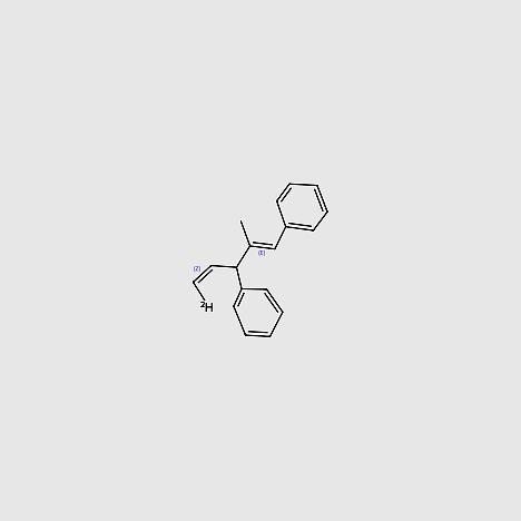 [2H]/C=C\C(/C(C)=C/c1ccccc1)c1ccccc1